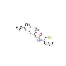 CC(C)=CCC/C(C)=C/C(=O)N[C@@H](CS)C(=O)O